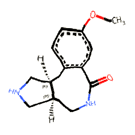 COc1ccc2c(c1)C(=O)NC[C@H]1CNC[C@@H]21